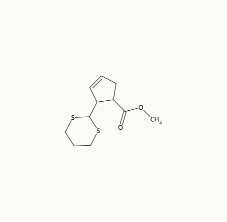 COC(=O)C1CC=CC1C1SCCCS1